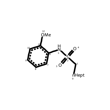 CCCCCCCCS(=O)(=O)Nc1ccccc1OC